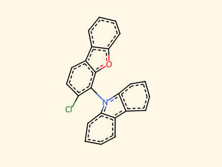 Clc1ccc2c(oc3ccccc32)c1-n1c2ccccc2c2ccccc21